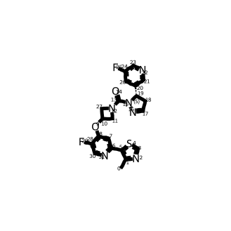 Cc1ncsc1-c1cc(OC2CN(C(=O)N3N=CC[C@H]3c3cncc(F)c3)C2)c(F)cn1